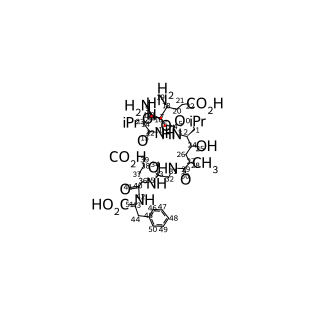 CC(C)C[C@H](NC(=O)[C@H](CC(N)=O)NC(=O)[C@@H](NC(=O)[C@@H](N)CCC(=O)O)C(C)C)[C@@H](O)C[C@@H](C)C(=O)NCC(=O)N[C@@H](CCC(=O)O)C(=O)N[C@@H](Cc1ccccc1)C(=O)O